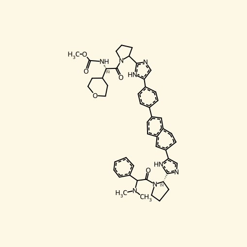 COC(=O)N[C@H](C(=O)N1CCCC1c1ncc(-c2ccc(-c3ccc4cc(-c5cnc([C@@H]6CCCN6C(=O)C(c6ccccc6)N(C)C)[nH]5)ccc4c3)cc2)[nH]1)C1CCOCC1